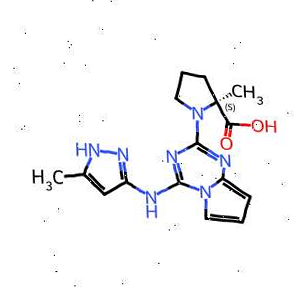 Cc1cc(Nc2nc(N3CCC[C@@]3(C)C(=O)O)nc3cccn23)n[nH]1